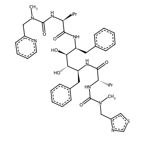 CC(C)[C@H](NC(=O)N(C)Cc1ccccn1)C(=O)N[C@@H](Cc1ccccc1)[C@H](O)[C@@H](O)[C@H](Cc1ccccc1)NC(=O)[C@@H](NC(=O)N(C)Cc1cscn1)C(C)C